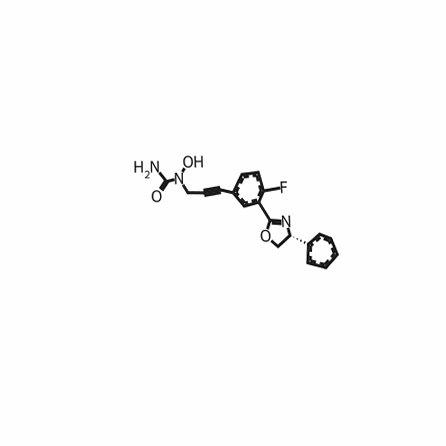 NC(=O)N(O)CC#Cc1ccc(F)c(C2=N[C@H](c3ccccc3)CO2)c1